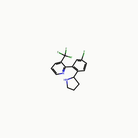 Fc1ccc(C2CCCN2)c(-c2ncccc2C(F)(F)F)c1